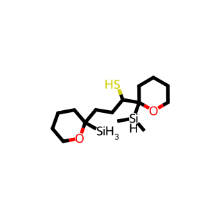 C[SiH](C)C1(C(S)CCC2([SiH3])CCCCO2)CCCCO1